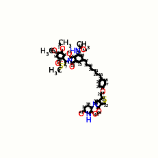 CCOc1cc(C(C[S+](C)[O-])N2C(=O)c3cc(CCCCCCCc4ccc(OCc5scc6c5CN(C5CCC(=O)NC5=O)C6=O)cc4)cc(NC(C)=O)c3C2=O)ccc1OC